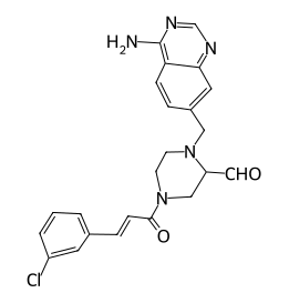 Nc1ncnc2cc(CN3CCN(C(=O)/C=C/c4cccc(Cl)c4)CC3C=O)ccc12